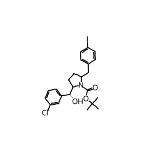 CC(C)(C)OC(=O)N1C(Cc2ccc(I)cc2)CCC1[C@H](O)c1cccc(Cl)c1